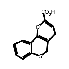 O=C(O)C1=CCC2=C(O1)c1ccccc1SC2